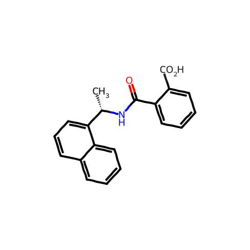 C[C@H](NC(=O)c1ccccc1C(=O)O)c1cccc2ccccc12